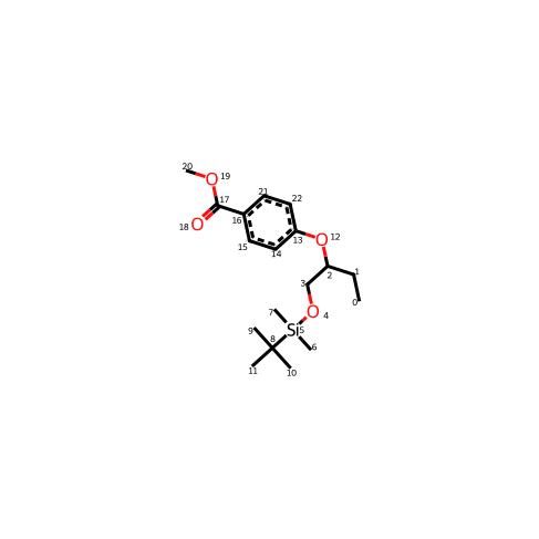 CCC(CO[Si](C)(C)C(C)(C)C)Oc1ccc(C(=O)OC)cc1